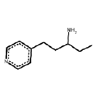 CCC(N)CCc1ccncc1